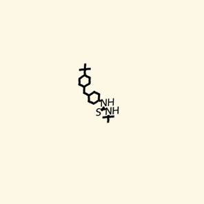 CC(C)(C)NC(=S)NC1CCC(CC2CCC(C(C)(C)C)CC2)CC1